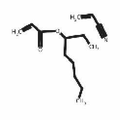 C=CC#N.C=CC(=O)OC(CC)CCCCC